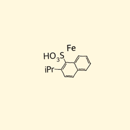 CC(C)c1ccc2ccccc2c1S(=O)(=O)O.[Fe]